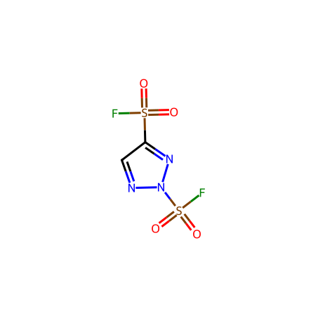 O=S(=O)(F)c1cnn(S(=O)(=O)F)n1